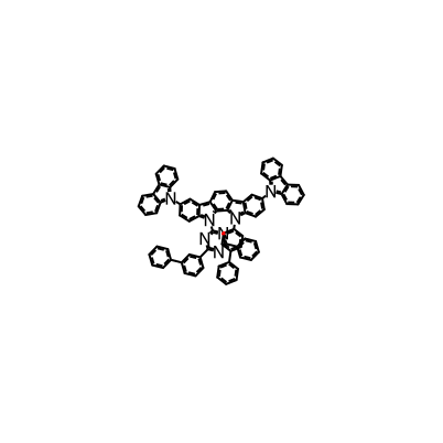 c1ccc(-c2ccc(-n3c4ccc(-n5c6ccccc6c6ccccc65)cc4c4ccc5c6cc(-n7c8ccccc8c8ccccc87)ccc6n(-c6nc(-c7ccccc7)nc(-c7cccc(-c8ccccc8)c7)n6)c5c43)cc2)cc1